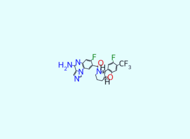 Nc1nc2cc(F)c(C(=O)N3CCC[C@@H]4Oc5cc(C(F)(F)F)c(F)cc5[C@@H]43)cc2n2cncc12